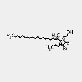 CCCCCCCCCCCCCCCCCCC(C)C1N(CCC)C(Br)C(Br)N1CCO